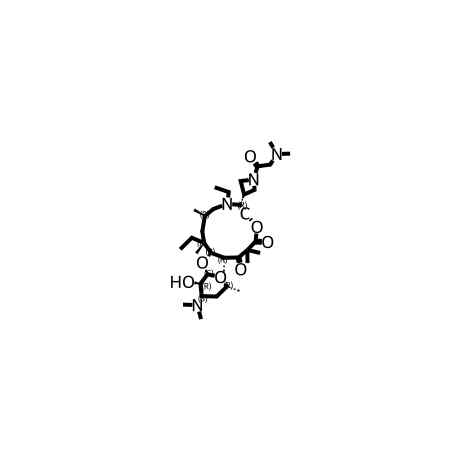 CCN1C[C@H](C)C[C@@](C)(CC)[C@H](O[C@@H]2O[C@H](C)C[C@H](N(C)C)[C@H]2O)[C@@H](C)C(=O)C(C)(C)C(=O)OC[C@H]1C1CN(C(=O)CN(C)C)C1